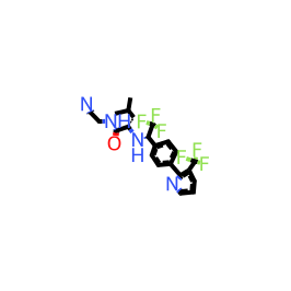 CC(C)C[C@H](N[C@@H](c1ccc(-c2ncccc2C(F)(F)F)cc1)C(F)(F)F)C(=O)NCC#N